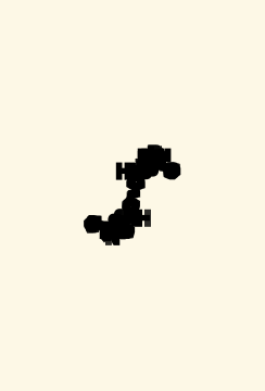 CCCCN(CC(=O)NC1=CCC(/C=C/c2ccc(NC(=O)[C@@H]3CCCN3C(=O)c3nccn3Cc3ccccc3)cc2)C=C1)C(=O)c1nccn1Cc1ccccc1